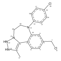 CC1=C2c3ccc(CCl)cc3N(c3ccc(Cl)cc3)CCN2NN1